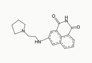 O=C1NC(=O)c2cc(NCCN3CCCC3)cc3cccc1c23